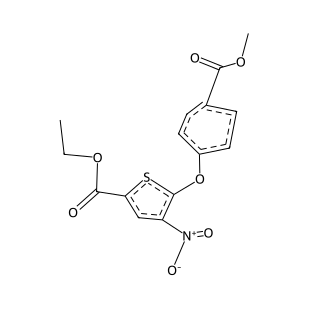 CCOC(=O)c1cc([N+](=O)[O-])c(Oc2ccc(C(=O)OC)cc2)s1